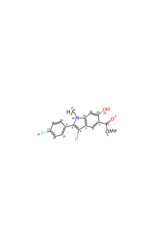 COC(=O)c1cc2c(I)c(-c3ccc(F)cc3)n(C)c2cc1O